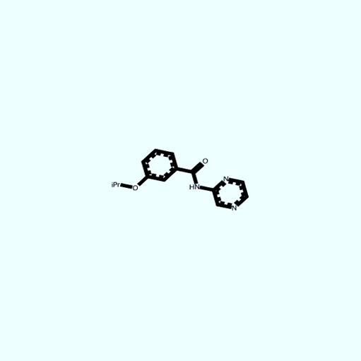 CC(C)Oc1cccc(C(=O)Nc2cnccn2)c1